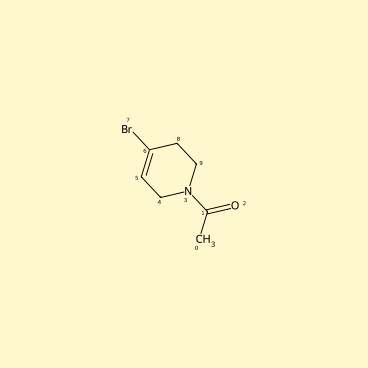 CC(=O)N1CC=C(Br)CC1